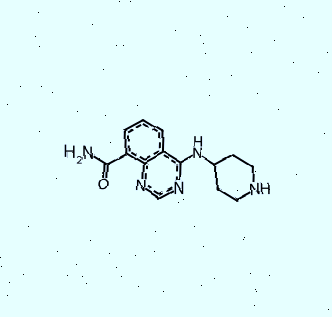 NC(=O)c1cccc2c(NC3CCNCC3)ncnc12